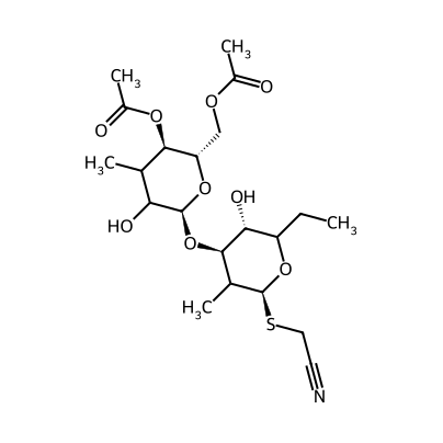 CCC1O[C@@H](SCC#N)C(C)[C@@H](O[C@@H]2O[C@@H](COC(C)=O)[C@H](OC(C)=O)C(C)C2O)[C@@H]1O